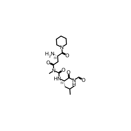 CC(C)C[C@H](NC(=O)N(C)C(=O)C[C@H](N)C(=O)N1CCCCC1)C(=O)NC=O